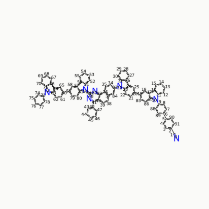 N#Cc1ccc(-c2ccc(-n3c4ccccc4c4cc(-c5ccc6c(c5)c5ccccc5n6-c5ccc6c(ccc7c(-c8ccccc8)nc(-n8c9ccccc9c9cc(-c%10ccc%11c(c%10)c%10ccccc%10n%11-c%10ccccc%10)ccc98)nc76)c5)ccc43)cc2)cc1